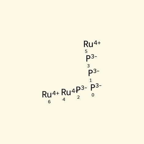 [P-3].[P-3].[P-3].[P-3].[Ru+4].[Ru+4].[Ru+4]